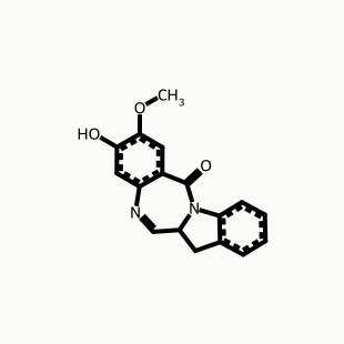 COc1cc2c(cc1O)N=CC1Cc3ccccc3N1C2=O